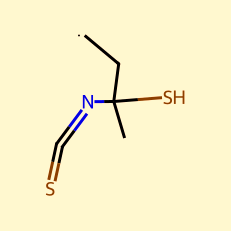 [CH2]CC(C)(S)N=C=S